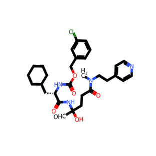 CN(CCc1ccncc1)C(=O)CCC(O)(C=O)NC(=O)[C@H](CC1CCCCC1)NC(=O)OCc1cccc(Cl)c1